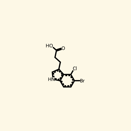 O=C(O)CCc1c[nH]c2ccc(Br)c(Cl)c12